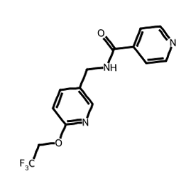 O=C(NCc1ccc(OCC(F)(F)F)nc1)c1ccncc1